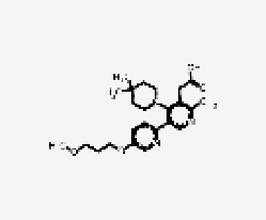 COCCCOc1ccc(-c2cnc(C)c(CC(=O)O)c2N2CCC(C)(C)CC2)nc1